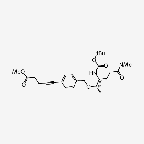 CNC(=O)CC[C@H](NC(=O)OC(C)(C)C)[C@@H](C)OCc1ccc(C#CCCC(=O)OC)cc1